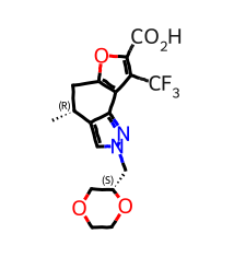 C[C@@H]1Cc2oc(C(=O)O)c(C(F)(F)F)c2-c2nn(C[C@H]3COCCO3)cc21